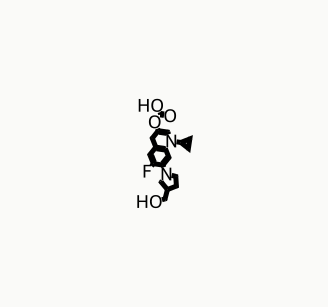 O=C(O)OC1=CN(C2CC2)c2cc(N3CCC(CO)C3)c(F)cc2C1